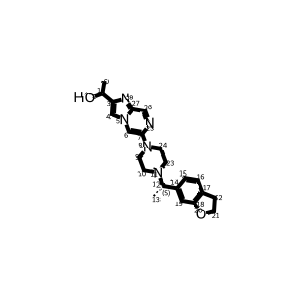 CC(O)c1cn2cc(N3CCN([C@@H](C)c4ccc5c(c4)OCC5)CC3)ncc2n1